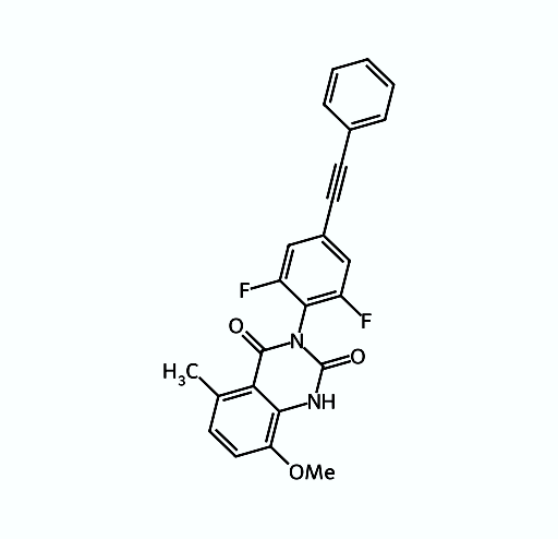 COc1ccc(C)c2c(=O)n(-c3c(F)cc(C#Cc4ccccc4)cc3F)c(=O)[nH]c12